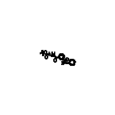 CC(C)(C)OC(=O)NCCC(=O)c1cccc(S(=O)(=O)CC2CCCCC2)c1